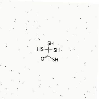 O=C(S)C(S)(S)S